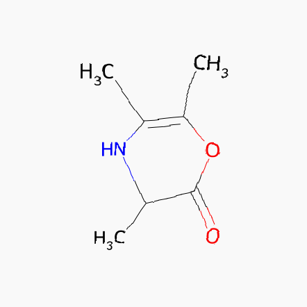 CC1=C(C)OC(=O)C(C)N1